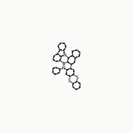 c1ccc(N2B3c4c(cc5ccccc5c4-n4c5ccccc5c5cccc3c54)-c3cc4c(cc32)Sc2ccccc2S4)cc1